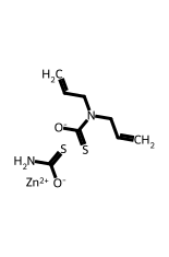 C=CCN(CC=C)C([O-])=S.NC([O-])=S.[Zn+2]